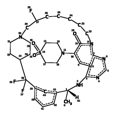 C[C@H]1Nc2ncnc3c2cc(N2CCS(=O)(=O)CC2)c(=O)n3CCCCCC(F)CN2CCC(CC2)C(F)(F)c2cccc1c2